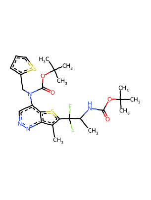 Cc1c(C(F)(F)C(C)NC(=O)OC(C)(C)C)sc2c(N(Cc3cccs3)C(=O)OC(C)(C)C)cnnc12